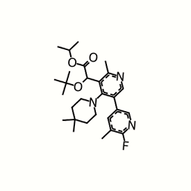 Cc1cc(-c2cnc(C)c(C(OC(C)(C)C)C(=O)OC(C)C)c2N2CCC(C)(C)CC2)cnc1F